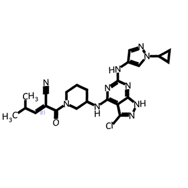 CC(C)/C=C(\C#N)C(=O)N1CCCC(Nc2nc(Nc3cnn(C4CC4)c3)nc3[nH]nc(Cl)c23)C1